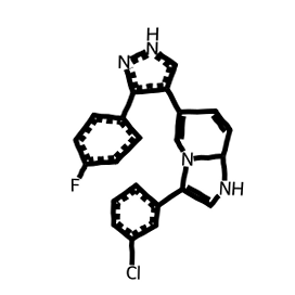 Fc1ccc(-c2n[nH]cc2C2=CN3C(c4cccc(Cl)c4)=CNC3C=C2)cc1